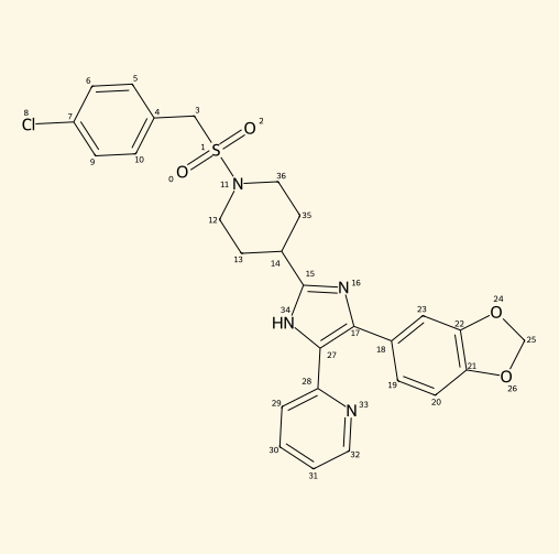 O=S(=O)(Cc1ccc(Cl)cc1)N1CCC(c2nc(-c3ccc4c(c3)OCO4)c(-c3ccccn3)[nH]2)CC1